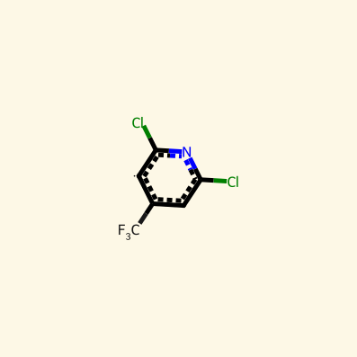 FC(F)(F)c1[c]c(Cl)nc(Cl)c1